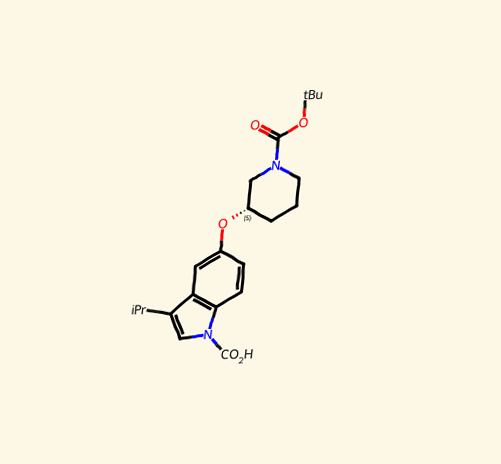 CC(C)c1cn(C(=O)O)c2ccc(O[C@H]3CCCN(C(=O)OC(C)(C)C)C3)cc12